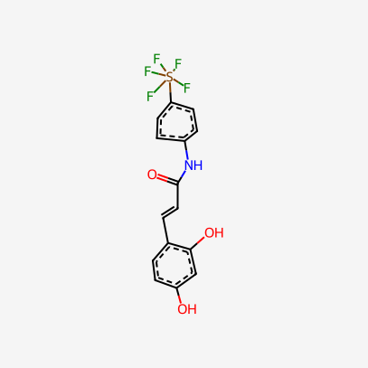 O=C(/C=C/c1ccc(O)cc1O)Nc1ccc(S(F)(F)(F)(F)F)cc1